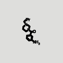 CC(C)CN1CCCN(C(=O)c2cccc(N)c2)CC1